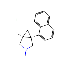 CN1C[C@@H]2C[C@]2(c2cccc3ccccc23)C1.Cl